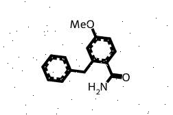 COc1ccc(C(N)=O)c(Cc2ccccc2)c1